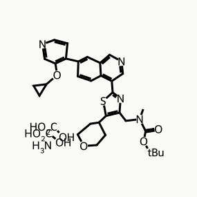 CN(Cc1nc(-c2cncc3cc(-c4ccncc4OC4CC4)ccc23)sc1C1CCOCC1)C(=O)OC(C)(C)C.N.O=C(O)O.O=C(O)O